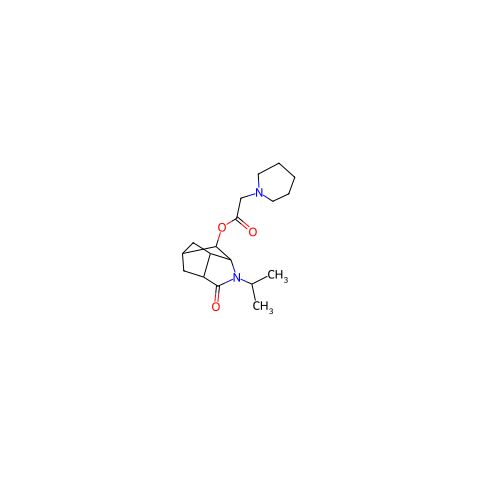 CC(C)N1C(=O)C2CC3CC2C1C3OC(=O)CN1CCCCC1